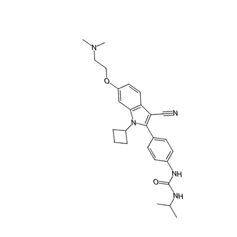 CC(C)NC(=O)Nc1ccc(-c2c(C#N)c3ccc(OCCN(C)C)cc3n2C2CCC2)cc1